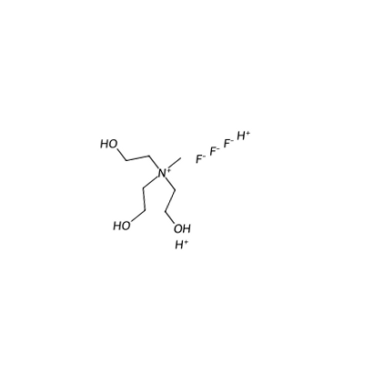 C[N+](CCO)(CCO)CCO.[F-].[F-].[F-].[H+].[H+]